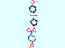 COC1CCN(C(=O)Oc2ccc(C(C)(C)c3ccc(O)cc3)cc2)CC1